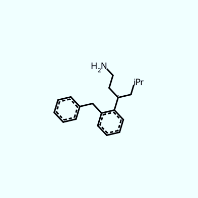 CC(C)C[C](CCN)c1ccccc1Cc1ccccc1